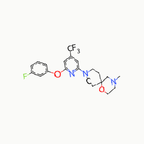 CN1CCOC2(CCN(c3cc(C(F)(F)F)cc(Oc4cccc(F)c4)n3)CC2)C1